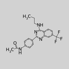 CCCNc1nc(-c2ccc(NC(C)=O)cc2)nc2cc(C(F)(F)F)ccc12